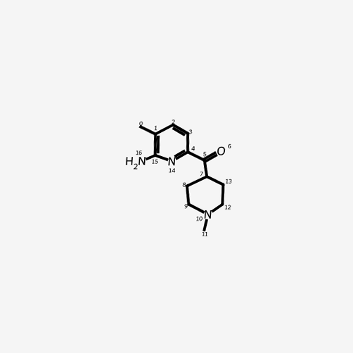 Cc1ccc(C(=O)C2CCN(C)CC2)nc1N